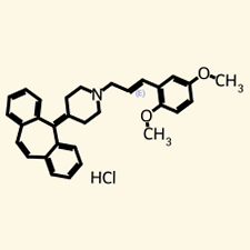 COc1ccc(OC)c(/C=C/CN2CCC(=C3c4ccccc4C=Cc4ccccc43)CC2)c1.Cl